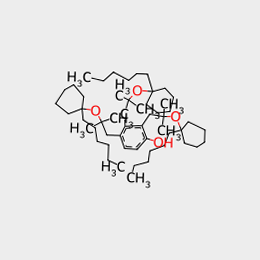 CCCCCCC1(OC(C)(C)Cc2ccc(O)c(CC(C)(C)OC3(CCCCCC)CCCCC3)c2CC(C)(C)OC2(CCCCCC)CCCCC2)CCCCC1